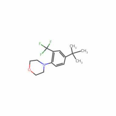 CC(C)(C)c1ccc(N2CCOCC2)c(C(F)(F)F)c1